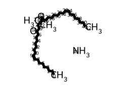 CCCCCCCC/C=C\CCCCCCCC(=O)CCC(C)(C)C(=O)CCCCCCC/C=C\CCCCCCCC.N